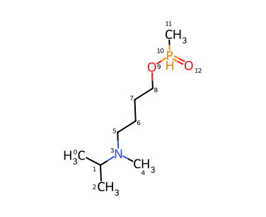 CC(C)N(C)CCCCO[PH](C)=O